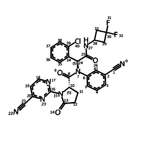 N#Cc1cccc(N(C(=O)[C@@H]2CCC(=O)N2c2nccc(C#N)n2)[C@H](C(=O)NC2CC(F)(F)C2)c2ccccc2Cl)c1